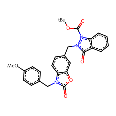 COc1ccc(Cn2c(=O)oc3cc(Cn4c(=O)c5ccccc5n4C(=O)OC(C)(C)C)ccc32)cc1